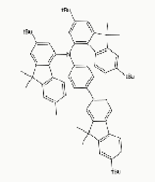 Cc1ccc2c(c1)C(C)(C)c1cc(C(C)(C)C)cc(N(c3ccc(-c4ccc5c(c4)C(C)(C)c4cc(C(C)(C)C)ccc4-5)cc3)c3cc(C(C)(C)C)cc4c3-c3ccc(C(C)(C)C)cc3C4(C)C)c1-2